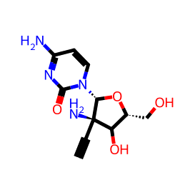 C#C[C@@]1(N)C(O)[C@@H](CO)O[C@H]1n1ccc(N)nc1=O